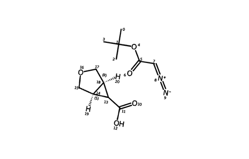 CC(C)(C)OC(=O)C=[N+]=[N-].O=C(O)C1[C@H]2COC[C@@H]12